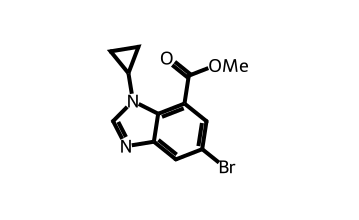 COC(=O)c1cc(Br)cc2ncn(C3CC3)c12